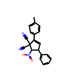 Cc1ccc(C2=CC(c3ccccc3)C([N+](=O)[O-])C2(C#N)C#N)cc1